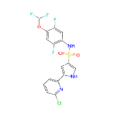 O=S(=O)(Nc1cc(F)c(OC(F)F)cc1F)c1c[nH]c(-c2cccc(Cl)n2)c1